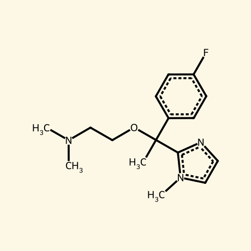 CN(C)CCOC(C)(c1ccc(F)cc1)c1nccn1C